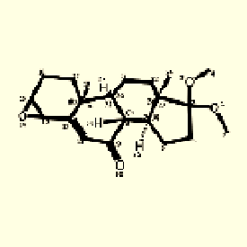 COC1(OC)CC[C@H]2[C@@H]3C(=O)C=C4C5OC5CC[C@]4(C)[C@@H]3CC[C@@]21C